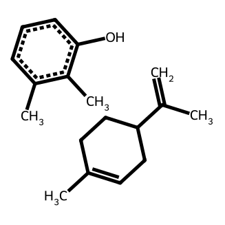 C=C(C)C1CC=C(C)CC1.Cc1cccc(O)c1C